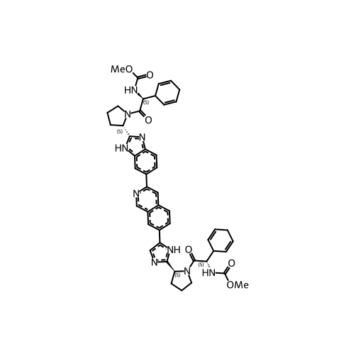 COC(=O)N[C@H](C(=O)N1CCC[C@H]1c1ncc(-c2ccc3cc(-c4ccc5nc([C@@H]6CCCN6C(=O)[C@@H](NC(=O)OC)C6C=CCC=C6)[nH]c5c4)ncc3c2)[nH]1)C1C=CCC=C1